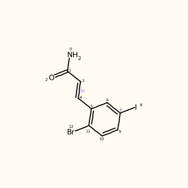 NC(=O)/C=C/c1cc(I)ccc1Br